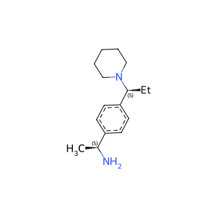 [CH2]C[C@@H](c1ccc([C@H](C)N)cc1)N1CCCCC1